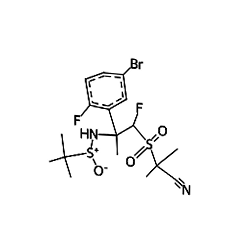 CC(N[S+]([O-])C(C)(C)C)(c1cc(Br)ccc1F)C(F)S(=O)(=O)C(C)(C)C#N